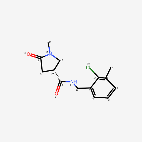 Cc1cccc(CNC(=O)[C@@H]2CC(=O)N(C)C2)c1Cl